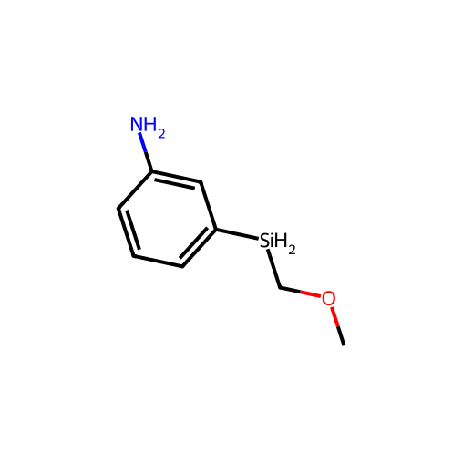 COC[SiH2]c1cccc(N)c1